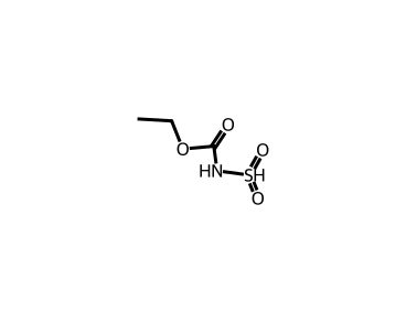 CCOC(=O)N[SH](=O)=O